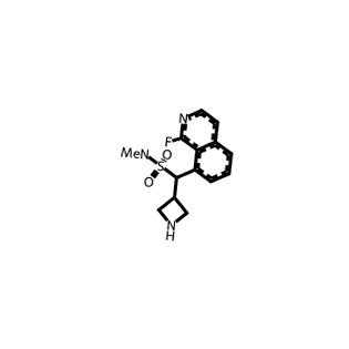 CNS(=O)(=O)C(c1cccc2ccnc(F)c12)C1CNC1